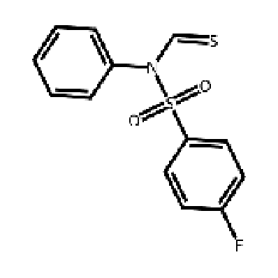 O=S(=O)(c1ccc(F)cc1)N(C=S)c1ccccc1